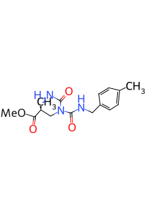 COC(=O)[C@@H](C)CN(C(N)=O)C(=O)NCc1ccc(C)cc1